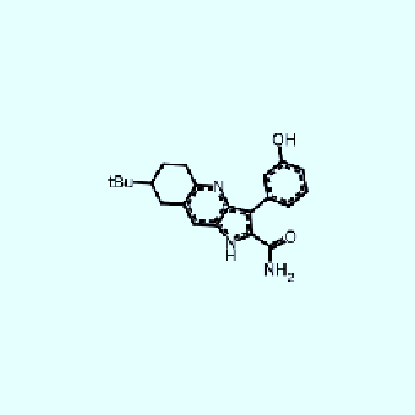 CC(C)(C)C1CCc2nc3c(-c4cccc(O)c4)c(C(N)=O)[nH]c3cc2C1